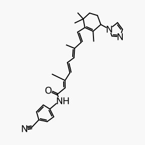 CC1=C(/C=C/C(C)=C/C=C/C(C)=C/C(=O)Nc2ccc(C#N)cc2)C(C)(C)CCC1n1ccnc1